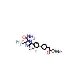 COC(=O)CC1CCC([C@H]2C=CC(c3nc(C(N)=O)c(C)nc3C)=CC2)CC1